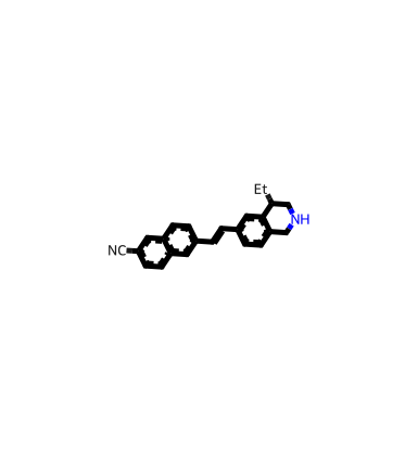 CCC1CNCc2ccc(/C=C/c3ccc4cc(C#N)ccc4c3)cc21